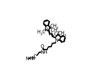 CN1/C(=C/C=C/C2N(CCCCCC(=O)NCCCN=[N+]=[N-])c3ccccc3C2(C)C)C(C)(C)c2ccccc21